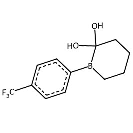 OC1(O)CCCCB1c1ccc(C(F)(F)F)cc1